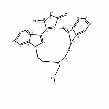 COCC1CCCn2cc(c3ccccc32)C2=C(C(=O)NC2=O)c2cn(c3ccccc23)CC1